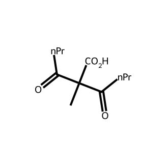 CCCC(=O)C(C)(C(=O)O)C(=O)CCC